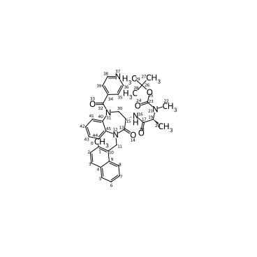 Cc1ccc2ccccc2c1CN1C(=O)[C@@H](NC(=O)[C@H](C)N(C)C(=O)OC(C)(C)C)CN(C(=O)c2ccncc2)c2ccccc21